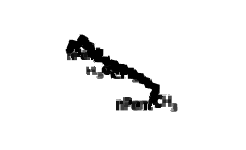 CCCCC/C=C\C/C=C\CCCCCCCCC(CCCCCCCC/C=C\CC(C)CCCCC)N(C)C